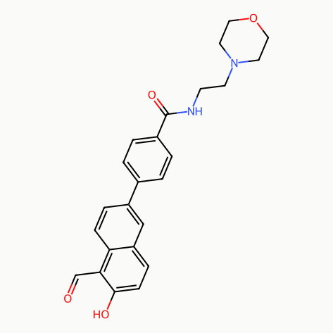 O=Cc1c(O)ccc2cc(-c3ccc(C(=O)NCCN4CCOCC4)cc3)ccc12